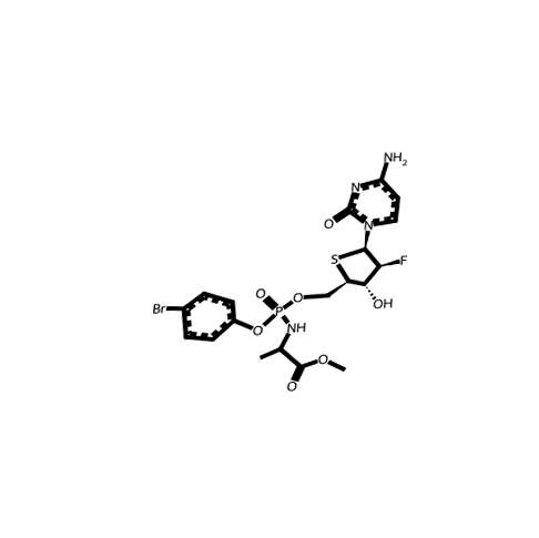 COC(=O)C(C)NP(=O)(OC[C@H]1S[C@@H](n2ccc(N)nc2=O)[C@@H](F)[C@@H]1O)Oc1ccc(Br)cc1